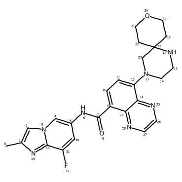 Cc1cn2cc(NC(=O)c3ccc(N4CCNC5(CCOCC5)C4)c4nccnc34)cc(F)c2n1